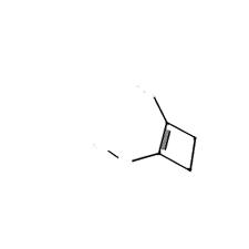 CC(=O)OC1=C(C#N)CC1